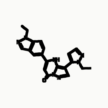 CCn1nccc1-c1cnn2c(=O)cc(-c3ccc4c(cnn4CC)c3)[nH]c12